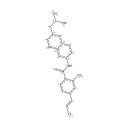 Cc1cc(C=CC(F)(F)F)ccc1C(=O)Nc1ccc2cc(CC(C)O)cnc2c1